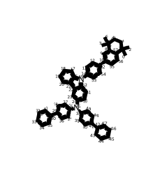 CC1(C)CCC(C)(C)c2cc(-c3ccc(-n4c5ccccc5c5cc(N(c6ccc(-c7ccccc7)cc6)c6ccc(-c7ccccc7)cc6)ccc54)cc3)ccc21